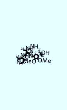 CO[C@@H]1[C@H](OC)[C@@H](C(C)(C)O)C[C@H]1Nc1nc(N)nc(C)c1-c1nc2c(C)nccc2s1